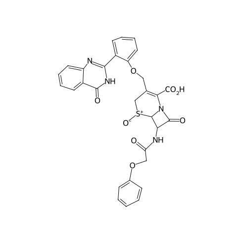 O=C(COc1ccccc1)NC1C(=O)N2C(C(=O)O)=C(COc3ccccc3-c3nc4ccccc4c(=O)[nH]3)C[S+]([O-])C12